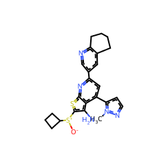 Cn1nccc1-c1cc(-c2cnc3c(c2)CCCC3)nc2sc([S+]([O-])C3CCC3)c(N)c12